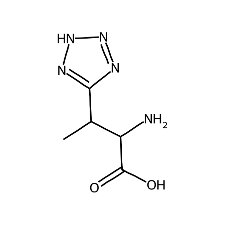 CC(c1nn[nH]n1)C(N)C(=O)O